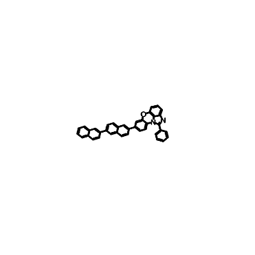 c1ccc(-c2nc3cccc4c3n2-c2ccc(-c3ccc5cc(-c6ccc7ccccc7c6)ccc5c3)cc2O4)cc1